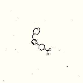 O=C(O)N1CCC(n2ccc(CN3CCOCC3)n2)CC1